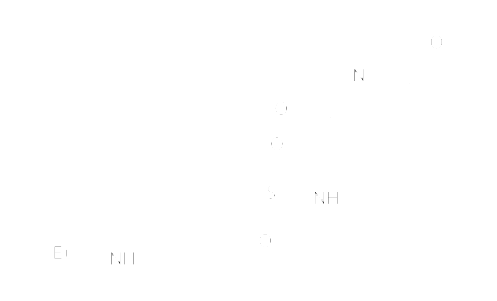 CCNc1cccc(S(=O)(=O)NC2CCC(=O)NC2=O)c1